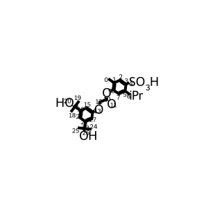 Cc1cc(S(=O)(=O)O)c(C(C)C)cc1OC(=O)COc1cc(C(C)(C)O)cc(C(C)(C)O)c1